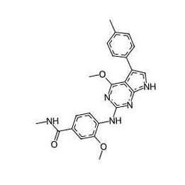 CNC(=O)c1ccc(Nc2nc(OC)c3c(-c4ccc(C)cc4)c[nH]c3n2)c(OC)c1